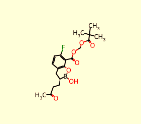 CC(=O)CC[C@H]1Cc2ccc(F)c(C(=O)OCOC(=O)C(C)(C)C)c2OB1O